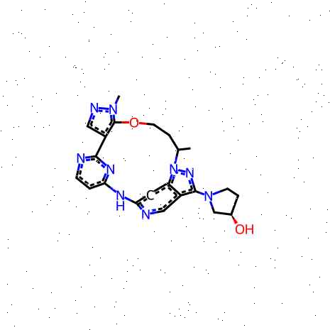 CC1CCOc2c(cnn2C)-c2nccc(n2)Nc2cc3c(cn2)c(N2CC[C@@H](O)C2)nn31